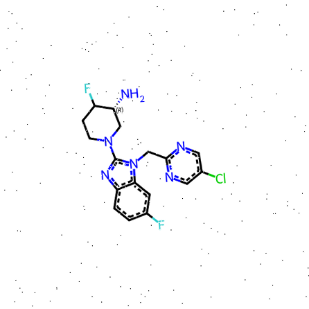 N[C@@H]1CN(c2nc3ccc(F)cc3n2Cc2ncc(Cl)cn2)CCC1F